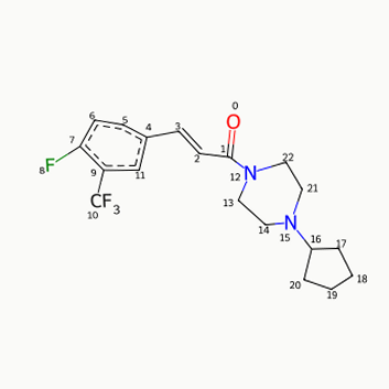 O=C(C=Cc1ccc(F)c(C(F)(F)F)c1)N1CCN(C2CCCC2)CC1